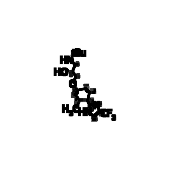 Cc1cc(OCC(O)CNC(C)(C)C)ccc1-c1nc(C(F)(F)F)c[nH]1